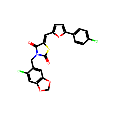 O=C1S/C(=C\c2ccc(-c3ccc(Cl)cc3)o2)C(=O)N1Cc1cc2c(cc1Cl)OCO2